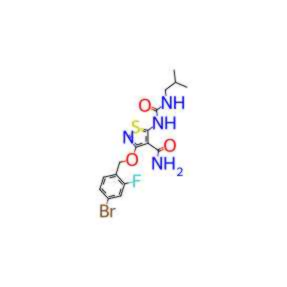 CC(C)CNC(=O)Nc1snc(OCc2ccc(Br)cc2F)c1C(N)=O